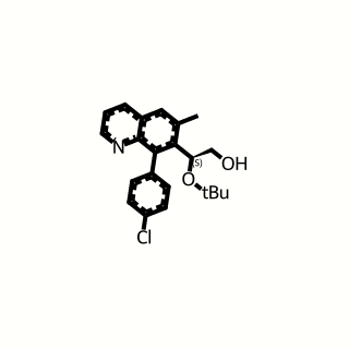 Cc1cc2cccnc2c(-c2ccc(Cl)cc2)c1[C@@H](CO)OC(C)(C)C